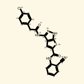 N#Cc1ccccc1NC(=O)c1cc2c(NC(=O)Cc3ccc(Cl)cc3)n[nH]c2s1